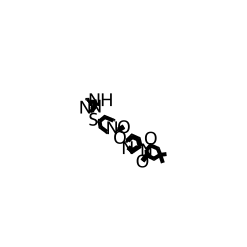 CC1(C)CC(=O)N(c2ccc(OC(=O)N3CCC(Sc4nc[nH]n4)CC3)nc2)C(=O)C1